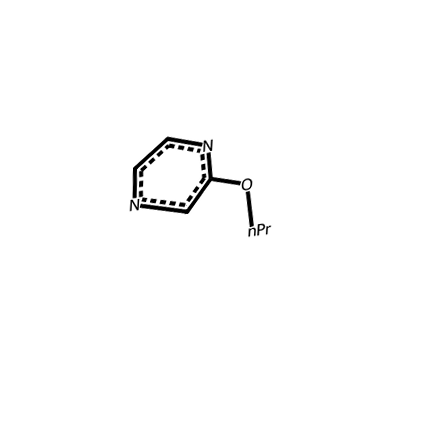 CCCOc1cnccn1